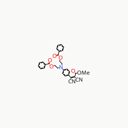 COC(=O)C(C#N)=C(C#N)c1ccc(N(CCOC(=O)c2ccccc2)CCOC(=O)c2ccccc2)cc1